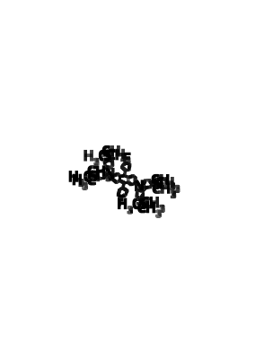 C[Si](C)(C)c1ccc2c(c1)c1cc([Si](C)(C)C)ccc1n2-c1ccc2c(-c3ccc(F)cc3)c3cc(-n4c5ccc([Si](C)(C)C)cc5c5cc([Si](C)(C)C)ccc54)ccc3c(-c3ccc(F)cc3)c2c1